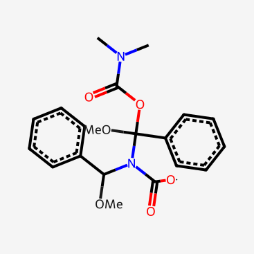 COC(c1ccccc1)N(C([O])=O)C(OC)(OC(=O)N(C)C)c1ccccc1